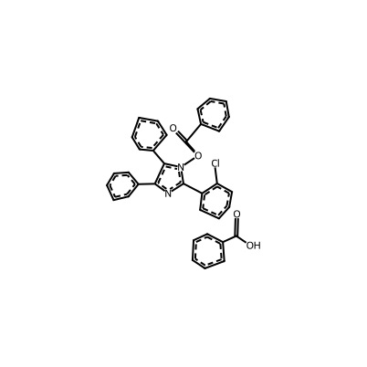 O=C(O)c1ccccc1.O=C(On1c(-c2ccccc2Cl)nc(-c2ccccc2)c1-c1ccccc1)c1ccccc1